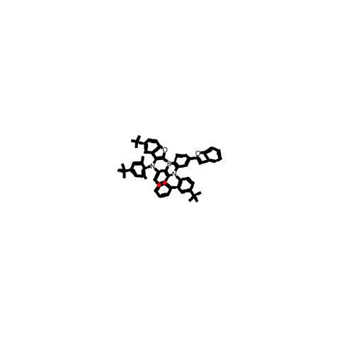 Cc1cc(C(C)(C)C)cc(C)c1N1c2cccc3c2B(c2ccc(-c4cc5ccccc5o4)cc2N3c2ccc(C(C)(C)C)cc2-c2ccccc2)c2oc3ccc(C(C)(C)C)cc3c21